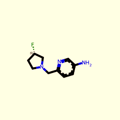 Nc1ccc(CN2CC[C@H](F)C2)nc1